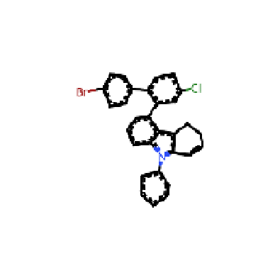 Clc1ccc(-c2ccc(Br)cc2)c(-c2cccc3c2c2c(n3-c3ccccc3)C=CCC2)c1